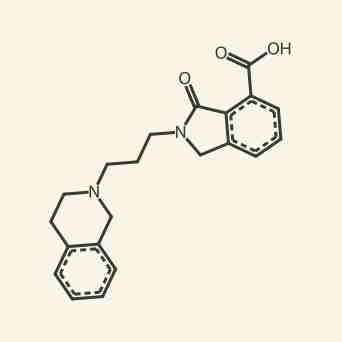 O=C(O)c1cccc2c1C(=O)N(CCCN1CCc3ccccc3C1)C2